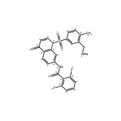 CNCc1cc(S(=O)(=O)n2ccc(=O)c3ccc(NC(=O)c4c(F)cccc4F)cc32)ccc1C